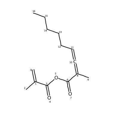 C=C(C)C(=O)OC(=O)C(C)=C=CCCCCC